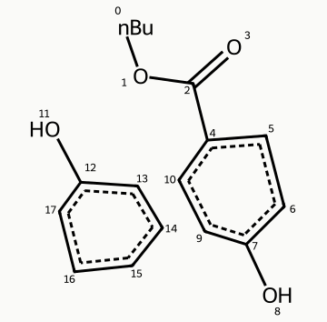 CCCCOC(=O)c1ccc(O)cc1.Oc1ccccc1